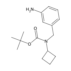 CC(C)(C)OC(=O)N(Cc1cccc(N)c1)C1CCC1